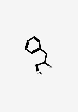 C=CC(CC)Cc1ccccc1